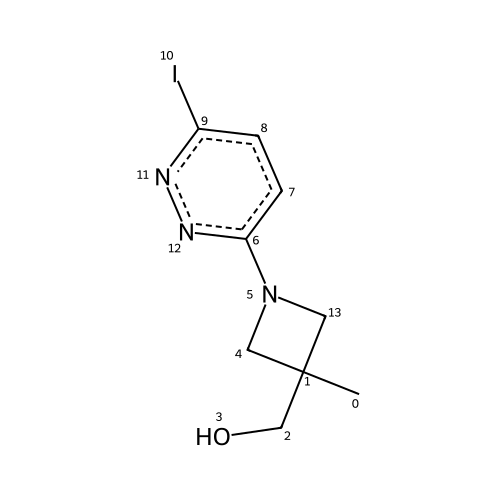 CC1(CO)CN(c2ccc(I)nn2)C1